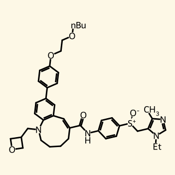 CCCCOCCOc1ccc(-c2ccc3c(c2)/C=C(/C(=O)Nc2ccc([S@+]([O-])Cc4c(C)ncn4CC)cc2)CCCCN3CC2COC2)cc1